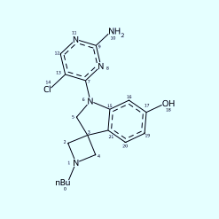 CCCCN1CC2(C1)CN(c1nc(N)ncc1Cl)c1cc(O)ccc12